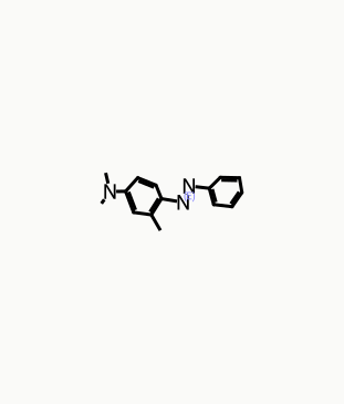 Cc1cc(N(C)C)ccc1/N=N/c1ccccc1